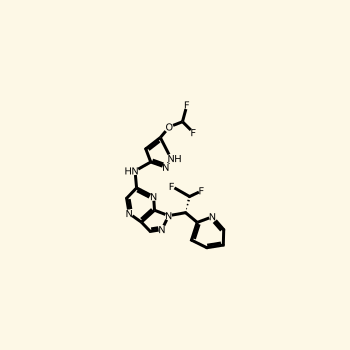 FC(F)Oc1cc(Nc2cnc3cnn([C@@H](c4ccccn4)C(F)F)c3n2)n[nH]1